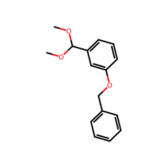 COC(OC)c1cccc(OCc2ccccc2)c1